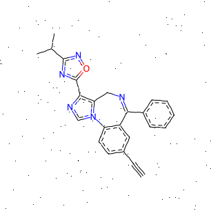 C#Cc1ccc2c(c1)C(c1ccccc1)=NCc1c(-c3nc(C(C)C)no3)ncn1-2